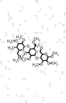 COCC1O[C@@H](OC)C(OC)C(OC)[C@@H]1O[C@H]1OC(COC)[C@@H](O[C@@H]2OC(COC)[C@@H](C)[C@H](OC)C2OC)C(OC)C1OC